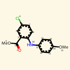 COC(=O)c1cc(Cl)ccc1Nc1ccc(OC)cc1